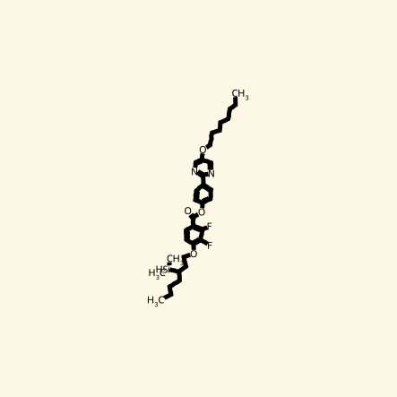 CCCCCCCCOc1cnc(-c2ccc(OC(=O)c3ccc(OCCC(CCCC)[SiH](C)C)c(F)c3F)cc2)nc1